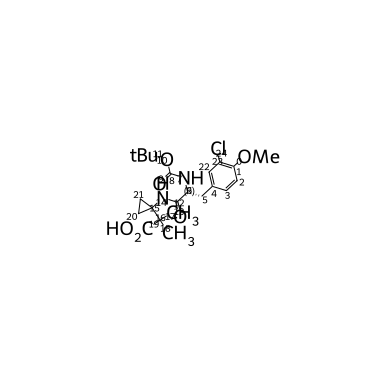 COc1ccc(C[C@@H](NC(=O)OC(C)(C)C)C(=O)NC2(C(C)(C)C(=O)O)CC2)cc1Cl